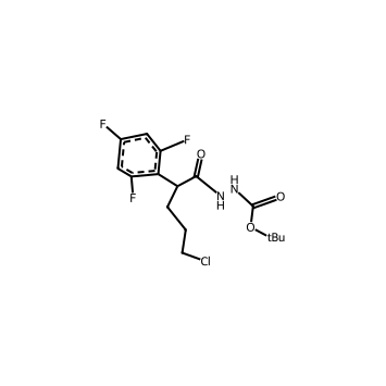 CC(C)(C)OC(=O)NNC(=O)C(CCCCl)c1c(F)cc(F)cc1F